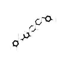 C[C@H]1CN(c2ncc(C(=O)Nc3ccc(F)c(F)c3)cc2Cl)CCN1C1CCN(Cc2ccc(Cl)cc2)CC1